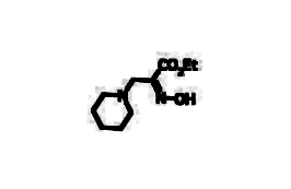 CCOC(=O)C(CN1CCCCC1)=NO